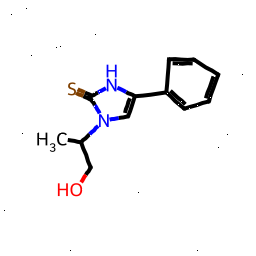 CC(CO)n1cc(-c2ccccc2)[nH]c1=S